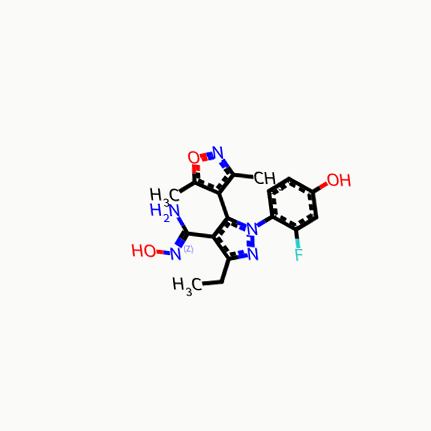 CCc1nn(-c2ccc(O)cc2F)c(-c2c(C)noc2C)c1/C(N)=N/O